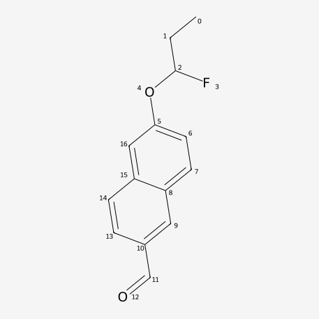 CCC(F)Oc1ccc2cc(C=O)ccc2c1